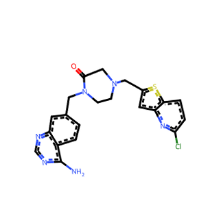 Nc1ncnc2cc(CN3CCN(Cc4cc5nc(Cl)ccc5s4)CC3=O)ccc12